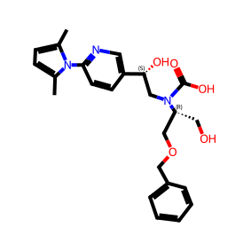 Cc1ccc(C)n1-c1ccc([C@H](O)CN(C(=O)O)[C@H](CO)COCc2ccccc2)cn1